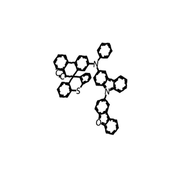 c1ccc(N(c2ccc3c(c2)C2(c4ccccc4Sc4ccccc42)c2cccc4cccc-3c24)c2ccc3c(c2)c2ccccc2n3-c2ccc3oc4ccccc4c3c2)cc1